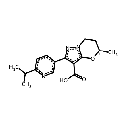 CC(C)c1ccc(-c2nn3c(c2C(=O)O)O[C@H](C)CC3)cn1